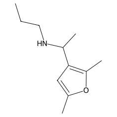 CCCNC(C)c1cc(C)oc1C